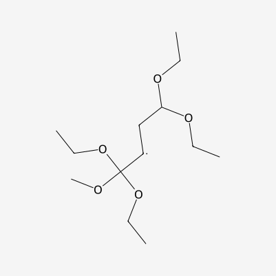 CCOC(C[CH]C(OC)(OCC)OCC)OCC